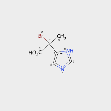 CC(Br)(C(=O)O)c1cnc[nH]1